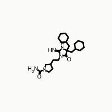 N=C1NC(CC2CCCCC2)(CC2CCCCC2)C(=O)N1CCC1CCN(C(N)=O)C1